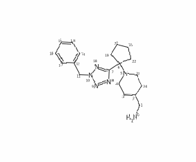 NCC1CCN(C2(c3nnn(Cc4ccccc4)n3)CCCC2)CC1